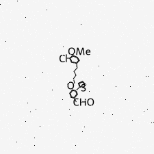 COc1ccc(CCCCCOc2ccc(C=O)cc2-c2cccs2)cc1Cl